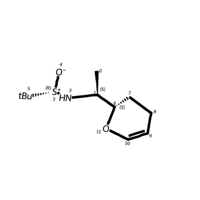 C[C@H](N[S@@+]([O-])C(C)(C)C)[C@@H]1CCC=CO1